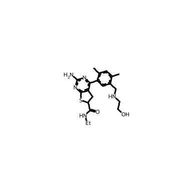 CCNC(=O)C1Cc2c(nc(N)nc2-c2cc(CNCCO)c(C)cc2C)S1